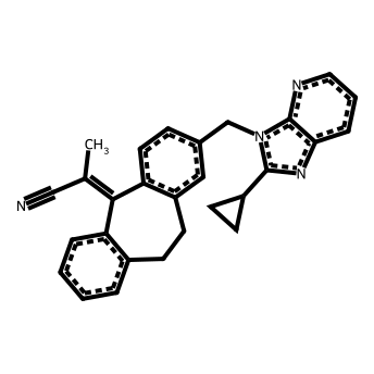 C/C(C#N)=C1/c2ccccc2CCc2cc(Cn3c(C4CC4)nc4cccnc43)ccc21